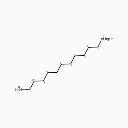 CCCCCC[CH]CCCCCCCCCCCN